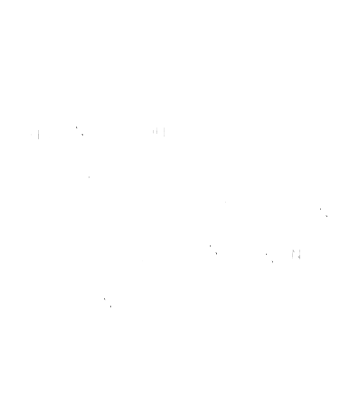 CN1CC[C@@](O)(C#Cc2cc(C#N)cc(NC(=O)c3n[nH]c4ncccc34)c2)C1=O